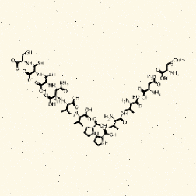 CC(C)[C@H](N)C(=O)O.CC(C)[C@H](N)C(=O)O.CC(C)[C@H](N)C(=O)O.CC(C)[C@H](N)C(=O)O.NC(=O)C[C@H](N)C(=O)O.NC(=O)C[C@H](N)C(=O)O.N[C@@H](CS)C(=O)O.N[C@@H](CS)C(=O)O.N[C@@H](CS)C(=O)[O-].N[C@@H](CS)C(=O)[O-].O=C(O)[C@@H]1CCCN1.O=C(O)[C@@H]1CCCN1.[Cu+2]